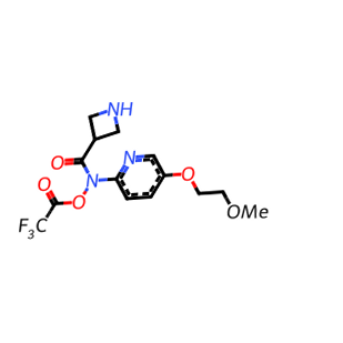 COCCOc1ccc(N(OC(=O)C(F)(F)F)C(=O)C2CNC2)nc1